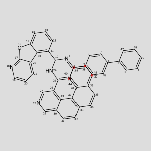 c1ccc(-c2ccc(C3=NC(c4cccc5oc6ncccc6c45)NC(c4cncc5ccc6ccc7ccccc7c6c45)=N3)cc2)cc1